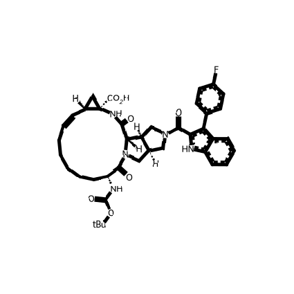 CC(C)(C)OC(=O)N[C@@H]1CCCCC/C=C\[C@@H]2C[C@@]2(C(=O)O)NC(=O)[C@@H]2[C@H]3CN(C(=O)c4[nH]c5ccccc5c4-c4ccc(F)cc4)C[C@H]3CN2C1=O